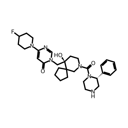 O=C(N1CC[C@@](O)(Cn2cnc(N3CCC(F)CC3)cc2=O)C2(CCCC2)C1)N1CCNC[C@H]1c1ccccc1